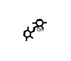 CC1C=CC(C)C(/C=C/C2(O)C(C)C=CC(C)C2C)C1C